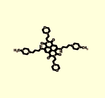 CN1CCN(CCCNc2cc3c4c(c(NCCCN5CCN(C)CC5)cc5c4c2C(=O)N(CCN2CCOCC2)C5=O)C(=O)N(CCN2CCOCC2)C3=O)CC1